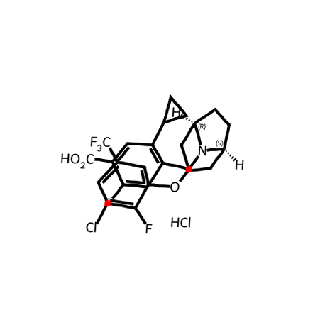 Cl.O=C(O)c1cc(C2CC2)c(CN2[C@@H]3CC[C@H]2CC(Oc2cc(C(F)(F)F)cc(Cl)c2F)C3)cc1F